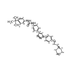 CC(C)(C)c1ccc(NC(=O)Nc2ccc(-c3cn(-c4ccc(OCCN5CCOCC5)cc4)nn3)cc2)cc1